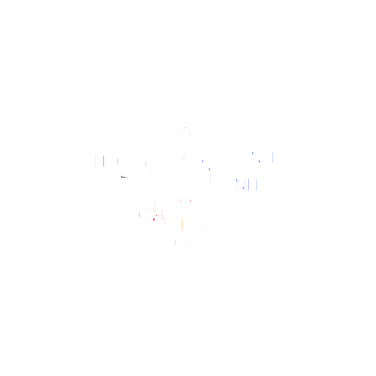 N=C(N)CNC(=O)C1O[C@H](CO)[C@@H](O)[C@H]1OP(=O)(O)O